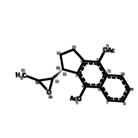 CC(=O)Oc1c2c(c(OC(C)=O)c3ccccc13)[C@H](C1OC1C)CC2